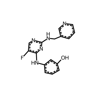 Oc1cccc(Nc2nc(NCc3cccnc3)ncc2F)c1